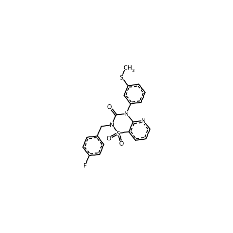 CSc1cccc(N2C(=O)N(Cc3ccc(F)cc3)S(=O)(=O)c3cccnc32)c1